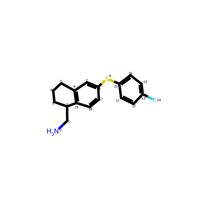 NCC1CCCc2cc(Sc3ccc(F)cc3)ccc21